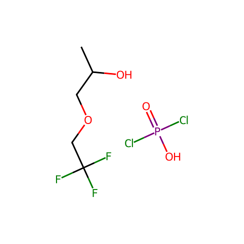 CC(O)COCC(F)(F)F.O=P(O)(Cl)Cl